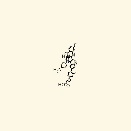 Cc1cc(OCC(=O)O)ccc1-c1cc2c(NC3CCC(N)CC3)c(/C(N)=N/c3cc(F)ccc3Cl)cnn2c1